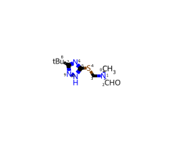 CN(C=O)CSc1nc(C(C)(C)C)n[nH]1